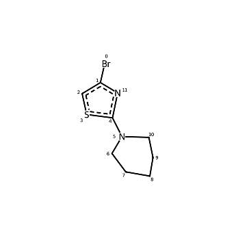 Brc1csc(N2CCCCC2)n1